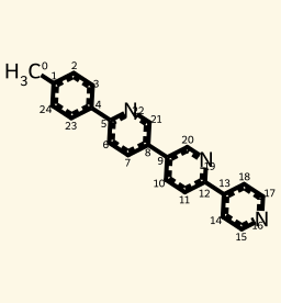 Cc1ccc(-c2ccc(-c3ccc(-c4ccncc4)nc3)cn2)cc1